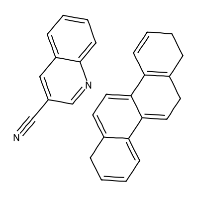 C1=CCc2ccc3c(c2=C1)=CCC1=C3C=CCC1.N#Cc1cnc2ccccc2c1